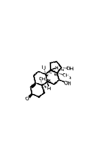 C[C@]12C(O)C[C@H]3[C@@H](CCC4=CC(=O)CC[C@@]43C)[C@@H]1CC[C@@H]2O